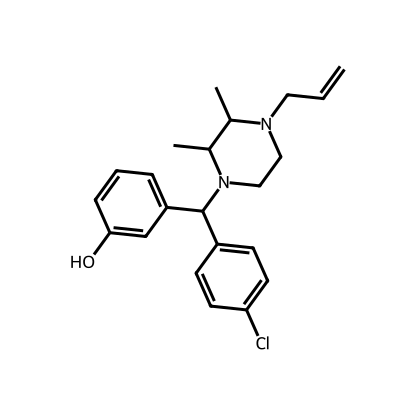 C=CCN1CCN(C(c2ccc(Cl)cc2)c2cccc(O)c2)C(C)C1C